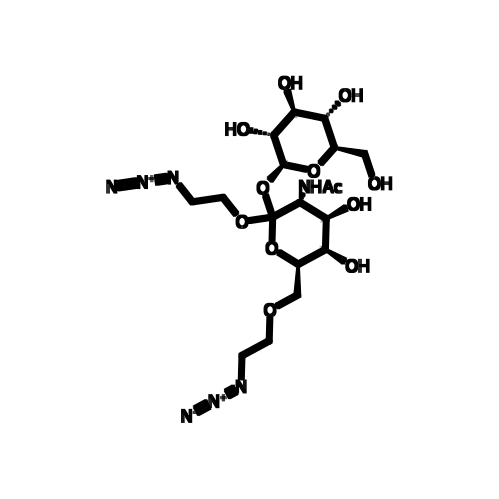 CC(=O)N[C@@H]1[C@@H](O)[C@@H](O)[C@@H](COCCN=[N+]=[N-])OC1(OCCN=[N+]=[N-])O[C@@H]1O[C@H](CO)[C@@H](O)[C@H](O)[C@H]1O